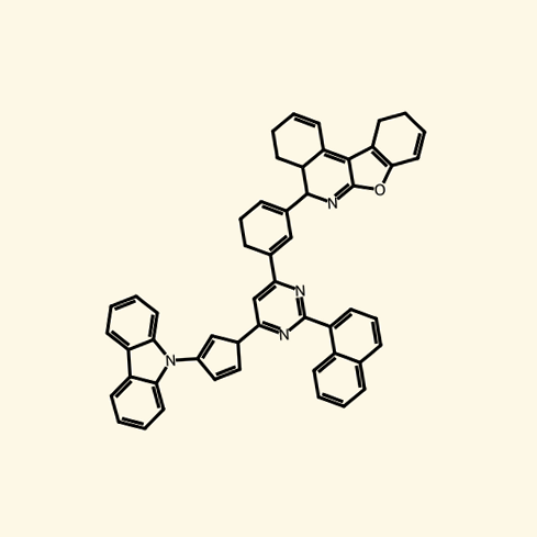 C1=Cc2oc3c(c2CC1)=C1C=CCCC1C(C1=CCCC(c2cc(C4C=CC(n5c6ccccc6c6ccccc65)=C4)nc(-c4cccc5ccccc45)n2)=C1)N=3